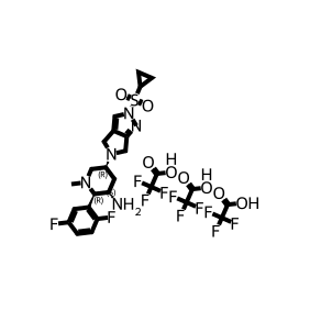 CN1C[C@H](N2Cc3cn(S(=O)(=O)C4CC4)nc3C2)C[C@H](N)[C@H]1c1cc(F)ccc1F.O=C(O)C(F)(F)F.O=C(O)C(F)(F)F.O=C(O)C(F)(F)F